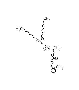 [CH2]C(COC(=O)CCC(OCCCCCCCC)OCCCCCCCC)COC(=O)OCCC1CCCN1C